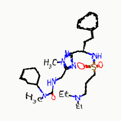 CCN(CC)CCCS(=O)(=O)N[C@H](CCc1ccccc1)c1nc(CNC(=O)N(C)C2CCCCC2)n(C)n1